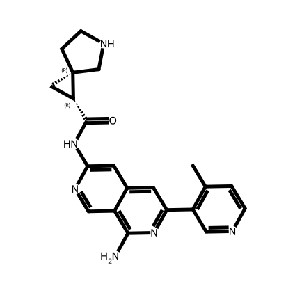 Cc1ccncc1-c1cc2cc(NC(=O)[C@@H]3C[C@@]34CCNC4)ncc2c(N)n1